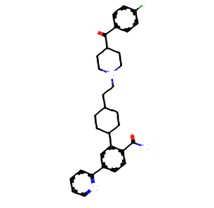 NC(=O)c1ccc(-c2ccccn2)cc1C1CCC(CCN2CCC(C(=O)c3ccc(F)cc3)CC2)CC1